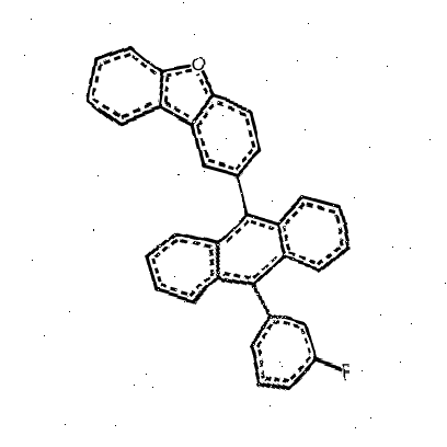 Fc1cccc(-c2c3ccccc3c(-c3ccc4oc5ccccc5c4c3)c3ccccc23)c1